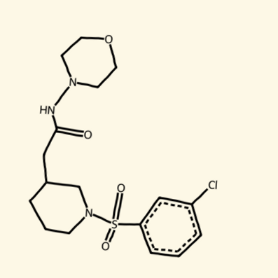 O=C(CC1CCCN(S(=O)(=O)c2cccc(Cl)c2)C1)NN1CCOCC1